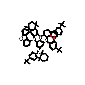 CC(C)(C)c1ccc(N2c3cc(N4c5ccc(C(C)(C)C)cc5C5(C)CCCCC45C)cc4c3B(c3cc5c(cc3N4c3cccc4oc6ccccc6c34)C(C)(C)CCC5(C)C)c3ccc4c(oc5ccc(C(C)(C)C)cc54)c32)c(-c2ccccc2)c1